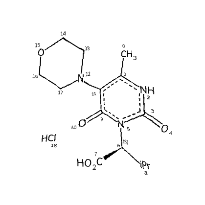 Cc1[nH]c(=O)n([C@H](C(=O)O)C(C)C)c(=O)c1N1CCOCC1.Cl